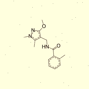 COc1nn(C)c(C)c1CNC(=O)c1ccccc1C